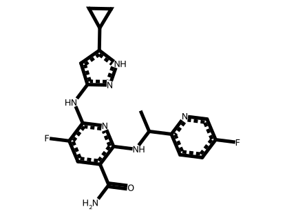 CC(Nc1nc(Nc2cc(C3CC3)[nH]n2)c(F)cc1C(N)=O)c1ccc(F)cn1